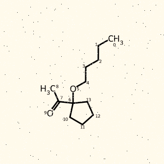 CCCCCOC1(C(C)=O)CCCC1